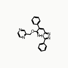 c1ccc(-c2cc3nnc(-c4ccccc4)n3nc2OCc2cnccn2)cc1